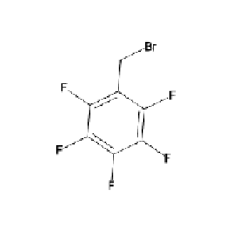 Fc1c(F)c(F)c(CBr)c(F)c1F